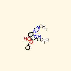 CN1CCN(c2cccc3c2NC(C(=O)O)=CC3(O)OCc2ccccc2)CC1